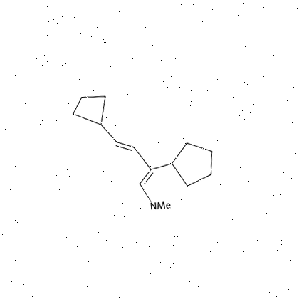 CN/C=C(/C=C/C1CCC1)C1CCCC1